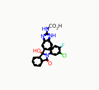 O=C(O)Nc1nc2cc(C3(O)c4ccccc4C(=O)N3c3ccc(F)c(Cl)c3)ccc2[nH]1